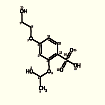 CC(O)Oc1cc(OCCO)ccc1S(=O)(=O)O